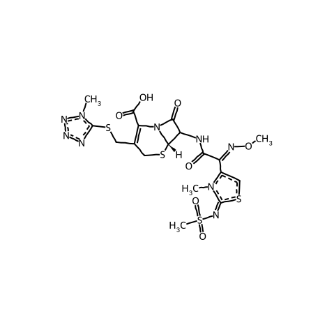 CON=C(C(=O)NC1C(=O)N2C(C(=O)O)=C(CSc3nnnn3C)CS[C@@H]12)c1csc(=NS(C)(=O)=O)n1C